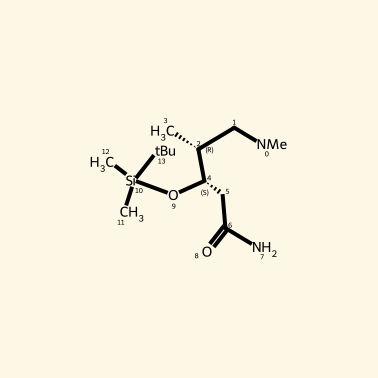 CNC[C@@H](C)[C@H](CC(N)=O)O[Si](C)(C)C(C)(C)C